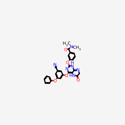 CN(C)C(=O)c1cccc(OC2=NC(Oc3cc(C#N)cc(Oc4ccccc4)c3)=C3NC(=O)CN=C3N2)c1